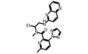 CCC(CNc1ccc2ncccc2n1)N(C)C(=O)c1nc(C)ccc1-n1nccn1